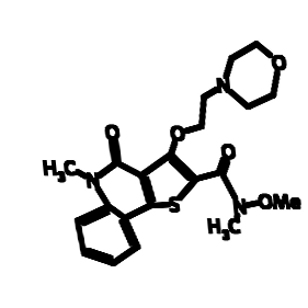 CON(C)C(=O)c1sc2c(c1OCCN1CCOCC1)c(=O)n(C)c1ccccc21